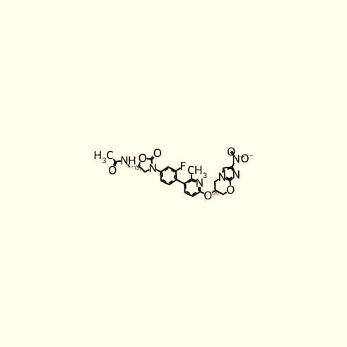 CC(=O)NC[C@H]1CN(c2ccc(-c3ccc(O[C@@H]4COc5nc([N+](=O)[O-])cn5C4)nc3C)c(F)c2)C(=O)O1